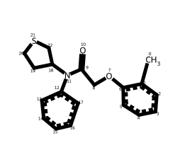 Cc1ccccc1OCC(=O)N(c1ccccc1)C1CCSC1